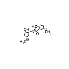 COc1ccc(O)c(C=NNC(=O)c2cc(OC)ccc2O)c1